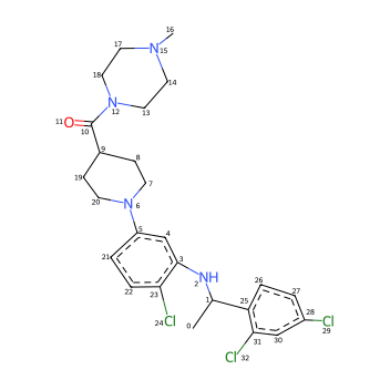 CC(Nc1cc(N2CCC(C(=O)N3CCN(C)CC3)CC2)ccc1Cl)c1ccc(Cl)cc1Cl